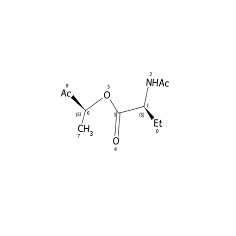 CC[C@H](NC(C)=O)C(=O)O[C@@H](C)C(C)=O